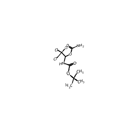 CC(C)(C)OC(=O)NC(OC(N)=O)C(Cl)(Cl)Cl